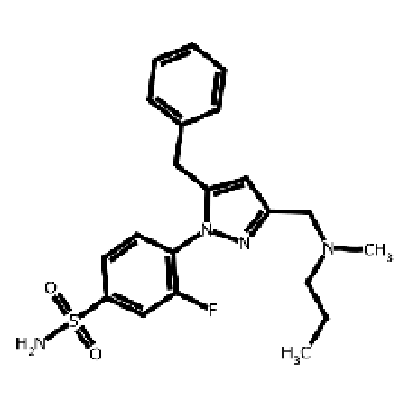 CCCN(C)Cc1cc(Cc2ccccc2)n(-c2ccc(S(N)(=O)=O)cc2F)n1